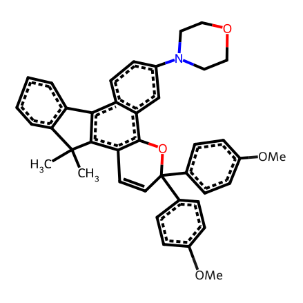 COc1ccc(C2(c3ccc(OC)cc3)C=Cc3c4c(c5ccc(N6CCOCC6)cc5c3O2)-c2ccccc2C4(C)C)cc1